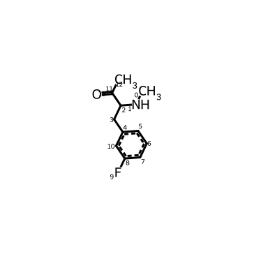 CNC(Cc1cccc(F)c1)C(C)=O